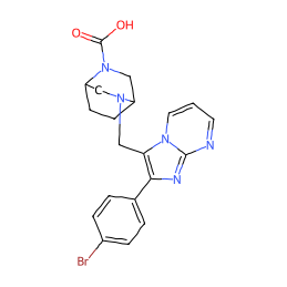 O=C(O)N1CC2CCC1CN2Cc1c(-c2ccc(Br)cc2)nc2ncccn12